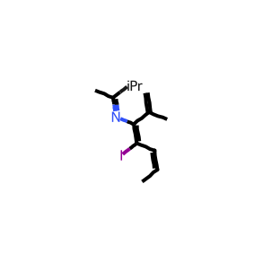 C=C(C)C(/N=C(/C)C(C)C)=C(I)\C=C/C